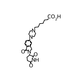 O=C(O)CCCCCCN1CCN(c2ccc3c(c2)CN(C2CCC(=O)NC2=O)C3=O)CC1